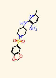 Cc1ccc(N)c(NC2CCN(S(=O)(=O)c3ccc4c(c3)OCO4)CC2)n1